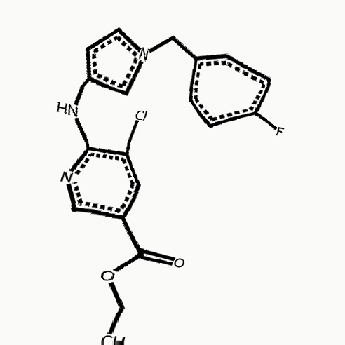 CCOC(=O)c1cnc(Nc2ccn(Cc3ccc(F)cc3)c2)c(Cl)c1